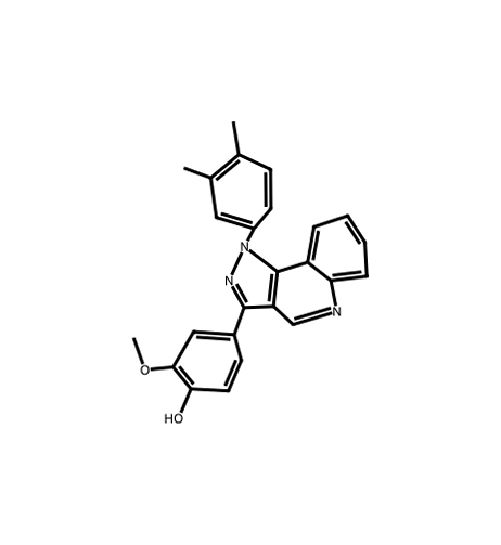 COc1cc(-c2nn(-c3ccc(C)c(C)c3)c3c2cnc2ccccc23)ccc1O